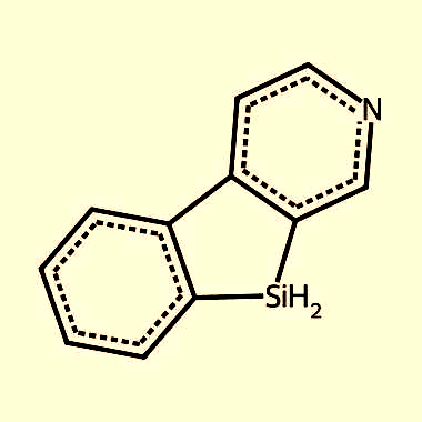 c1ccc2c(c1)[SiH2]c1cnccc1-2